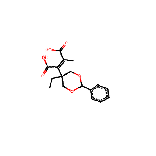 CCC1(/C(C(=O)O)=C(\C)C(=O)O)COC(c2ccccc2)OC1